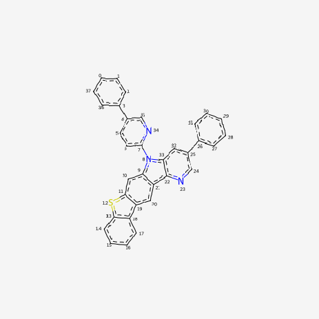 c1ccc(-c2ccc(-n3c4cc5sc6ccccc6c5cc4c4ncc(-c5ccccc5)cc43)nc2)cc1